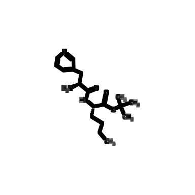 CCCC[C@H](NC(=O)[C@@H](N)Cc1cccnc1)C(=O)OC(C)(C)C